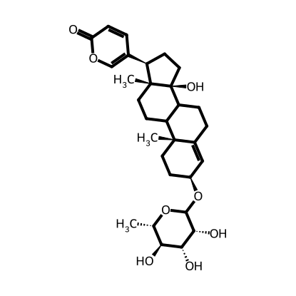 C[C@@H]1OC(O[C@@H]2C=C3CCC4C(CC[C@]5(C)[C@@H](c6ccc(=O)oc6)CC[C@]45O)[C@@]3(C)CC2)[C@H](O)[C@H](O)[C@H]1O